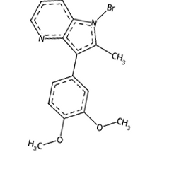 COc1ccc(-c2c(C)n(Br)c3cccnc23)cc1OC